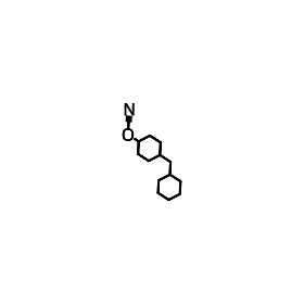 N#COC1CCC(CC2CCCCC2)CC1